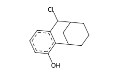 Oc1cccc2c1C1CCCC(C1)C2Cl